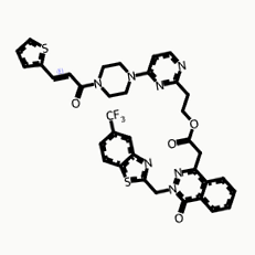 O=C(Cc1nn(Cc2nc3cc(C(F)(F)F)ccc3s2)c(=O)c2ccccc12)OCCc1nccc(N2CCN(C(=O)/C=C/c3cccs3)CC2)n1